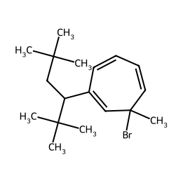 CC1(Br)C=CC=CC(C(CC(C)(C)C)C(C)(C)C)=C1